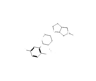 CN1CC2CCN([C@H]3CO[C@H](c4cc(F)ccc4F)[C@@H](N)C3)C2C1